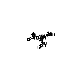 [2H]C([2H])([2H])N1Cc2sc(-c3nc4n(CC(=O)Nc5ccc(C(F)(F)F)cc5Cl)c(CC)c(N5CCN(C(=O)c6ncnc(C)c6OCc6ccccc6)CC5)c(=O)n4n3)cc2C2(CC2)C1